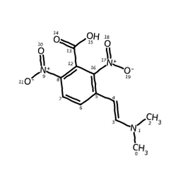 CN(C)C=Cc1ccc([N+](=O)[O-])c(C(=O)O)c1[N+](=O)[O-]